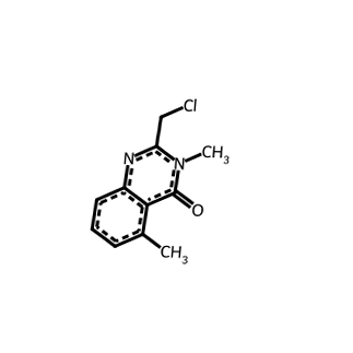 Cc1cccc2nc(CCl)n(C)c(=O)c12